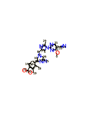 COc1nc(-n2cc(CN3C[C@@H](c4ccc5c(c4C)COC5=O)N[C@@H](C)C3)nc2C)ncc1C#N